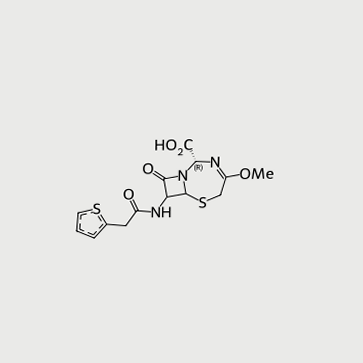 COC1=N[C@@H](C(=O)O)N2C(=O)C(NC(=O)Cc3cccs3)C2SC1